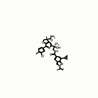 C[C@]1(C(N)=O)COc2c1cc([C@@](O)(CNC(=O)c1cc(C3CC3)c3nn(C(F)F)cc3c1)C(F)(F)F)nc2-c1ccc(F)c(Cl)c1